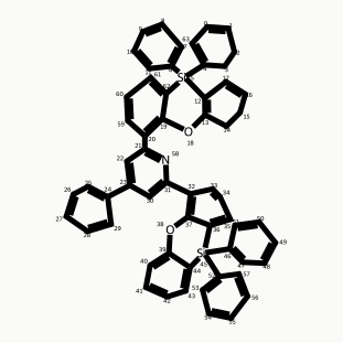 C1=CCCC([Si]2(c3ccccc3)C3=C(CCC=C3)Oc3c(-c4cc(-c5ccccc5)cc(-c5cccc6c5Oc5ccccc5[Si]6(c5ccccc5)c5ccccc5)n4)cccc32)=C1